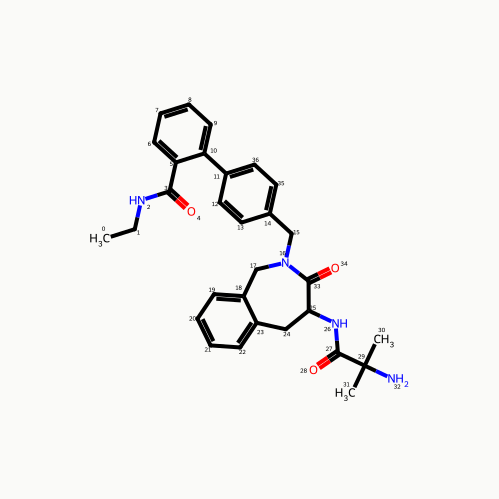 CCNC(=O)c1ccccc1-c1ccc(CN2Cc3ccccc3CC(NC(=O)C(C)(C)N)C2=O)cc1